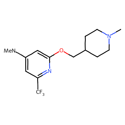 CNc1cc(OCC2CCN(C)CC2)nc(C(F)(F)F)c1